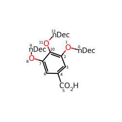 CCCCCCCCCCOc1cc(C(=O)O)cc(OCCCCCCCCCC)c1OCCCCCCCCCC